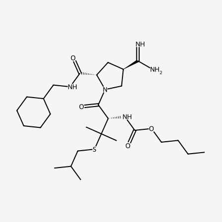 CCCCOC(=O)N[C@@H](C(=O)N1C[C@H](C(=N)N)C[C@H]1C(=O)NCC1CCCCC1)C(C)(C)SCC(C)C